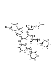 C=CCNCC(=O)N1[C@@H](NC(=O)NCc2ccccc2)CN(Cc2cccc(Oc3ccccc3)c2)C(=O)[C@@H]1Cc1ccc(O)cc1